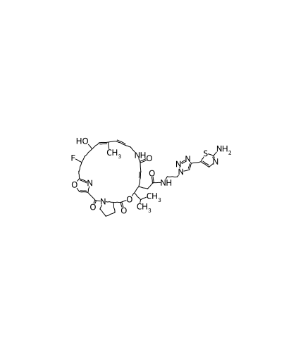 CC1=C\C(O)CC(F)Cc2nc(co2)C(=O)N2CCCC2C(=O)OC(C(C)C)C(CC(=O)NCCn2cc(-c3cnc(N)s3)nn2)/C=C/C(=O)NC\C=C\1